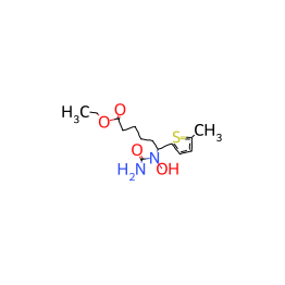 CCOC(=O)CCCCC(c1ccc(C)s1)N(O)C(N)=O